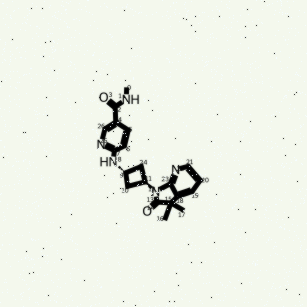 CNC(=O)c1ccc(N[C@H]2C[C@H](N3C(=O)C(C)(C)c4cccnc43)C2)nc1